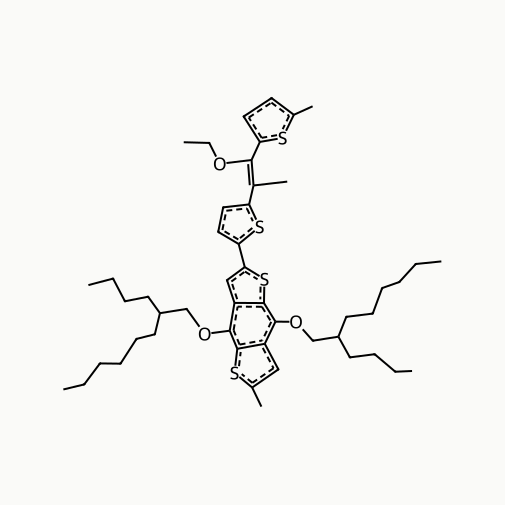 CCCCCCC(CCCC)COc1c2cc(-c3ccc(/C(C)=C(\OCC)c4ccc(C)s4)s3)sc2c(OCC(CCCC)CCCCCC)c2cc(C)sc12